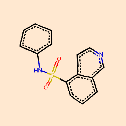 O=S(=O)(Nc1ccccc1)c1cccc2cnccc12